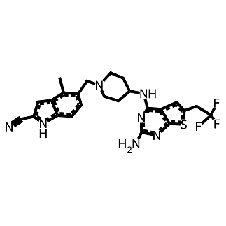 Cc1c(CN2CCC(Nc3nc(N)nc4sc(CC(F)(F)F)cc34)CC2)ccc2[nH]c(C#N)cc12